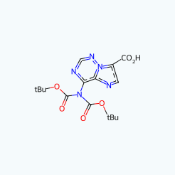 CC(C)(C)OC(=O)N(C(=O)OC(C)(C)C)c1ncnn2c(C(=O)O)cnc12